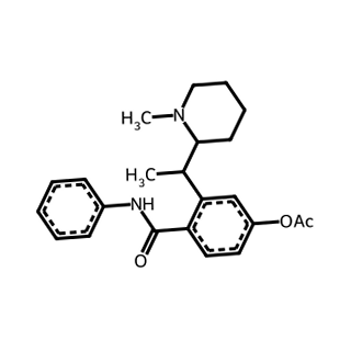 CC(=O)Oc1ccc(C(=O)Nc2ccccc2)c(C(C)C2CCCCN2C)c1